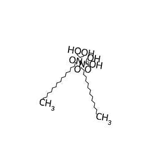 CCCCCCCCCCCCCCCC(=O)N(C(CO)CO)N(C(=O)CCCCCCCCCCCCCCC)[C@@H](CO)C(=O)O